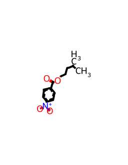 CC(C)CCCOC(=O)c1ccc([N+](=O)[O-])cc1